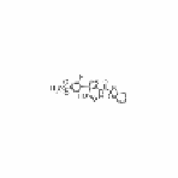 CS(=O)(=O)c1ccc(-c2csc(NC(=O)c3nc4ccccc4o3)c2C(=O)O)c(F)c1